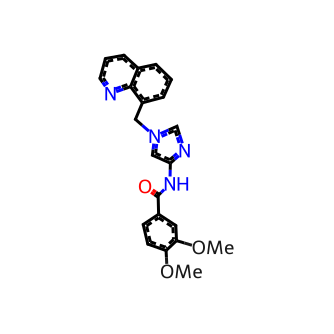 COc1ccc(C(=O)Nc2cn(Cc3cccc4cccnc34)cn2)cc1OC